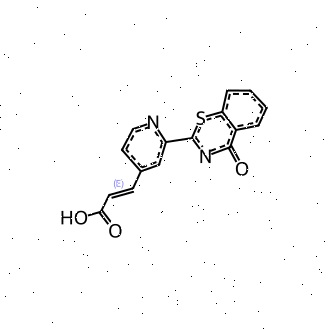 O=C(O)/C=C/c1ccnc(-c2nc(=O)c3ccccc3s2)c1